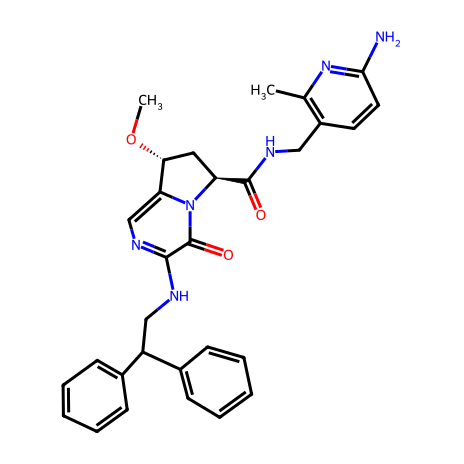 CO[C@@H]1C[C@@H](C(=O)NCc2ccc(N)nc2C)n2c1cnc(NCC(c1ccccc1)c1ccccc1)c2=O